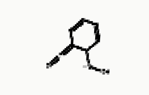 O=C=C1C=CC=CC1NO